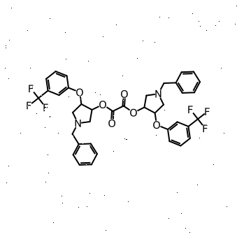 O=C(OC1CN(Cc2ccccc2)CC1Oc1cccc(C(F)(F)F)c1)C(=O)OC1CN(Cc2ccccc2)CC1Oc1cccc(C(F)(F)F)c1